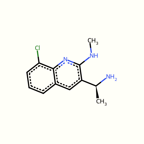 CNc1nc2c(Cl)cccc2cc1[C@H](C)N